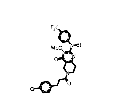 CCN(c1ccc(C(F)(F)F)cc1)c1nc2c(c(=O)n1OC)CN(C(=O)CCc1ccc(Cl)cc1)CC2